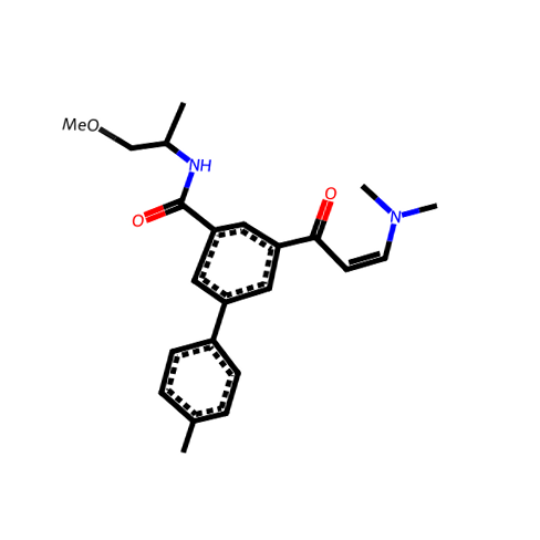 COCC(C)NC(=O)c1cc(C(=O)/C=C\N(C)C)cc(-c2ccc(C)cc2)c1